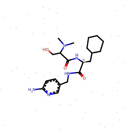 CN(C)C(CO)C(=O)N[C@@H](CC1CCCCC1)C(=O)NCc1ccc(N)nc1